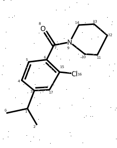 CC(C)c1ccc(C(=O)N2CCCCC2)c(Cl)c1